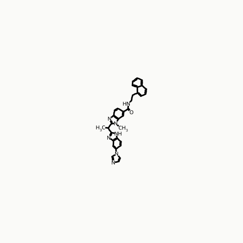 CC(c1nc2cc(-n3ccnc3)ccc2[nH]1)c1nc2ccc(C(=O)NCCc3cccc4ccccc34)cc2n1C